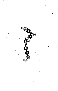 Cn1cnc(-c2ccc(C3=CCN(CCN4CC[C@]5(CCN(c6ccc7[nH]nc(-c8ccc(S(C)(=O)=O)cc8)c7c6)C5=O)C4)CC3)cc2)n1